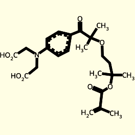 C=C(C)C(=O)OC(C)(C)CCOC(C)(C)C(=O)c1ccc(N(CC(=O)O)CC(=O)O)cc1